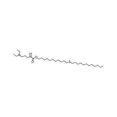 CCCCCCCCCCCCSCCCCCCCCCCCOC(=O)NCCCN(CC)CC